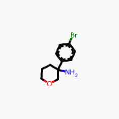 NC1(c2ccc(Br)cc2)CCCOC1